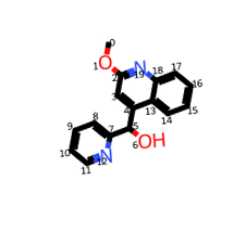 COc1cc(C(O)c2ccccn2)c2ccccc2n1